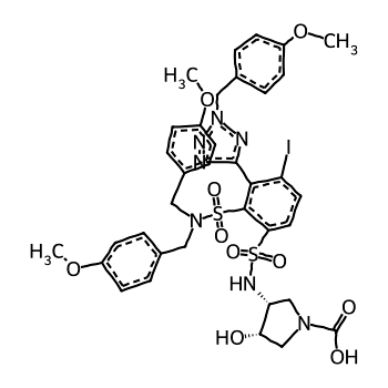 COc1ccc(CN(Cc2ccc(OC)cc2)S(=O)(=O)c2c(S(=O)(=O)N[C@@H]3CN(C(=O)O)C[C@@H]3O)ccc(I)c2-c2nnn(Cc3ccc(OC)cc3)n2)cc1